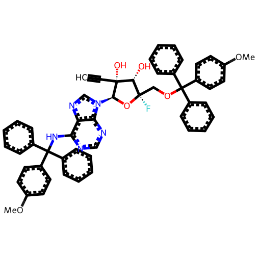 C#C[C@]1(O)[C@H](n2cnc3c(NC(c4ccccc4)(c4ccccc4)c4ccc(OC)cc4)ncnc32)O[C@](F)(COC(c2ccccc2)(c2ccccc2)c2ccc(OC)cc2)[C@H]1O